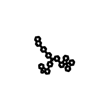 c1ccc(C2(c3ccccc3)c3ccccc3-c3c(-c4cccc(N(c5ccc(-c6ccc(-c7ccc8ccccc8c7)cc6)cc5)c5ccc(-c6cccc7oc8ccccc8c67)cc5)c4)cccc32)cc1